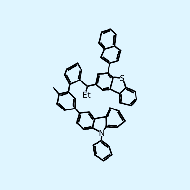 CCC(c1cc(-c2ccc3ccccc3c2)c2sc3ccccc3c2c1)c1ccccc1-c1cc(-c2ccc3c(c2)c2ccccc2n3-c2ccccc2)ccc1C